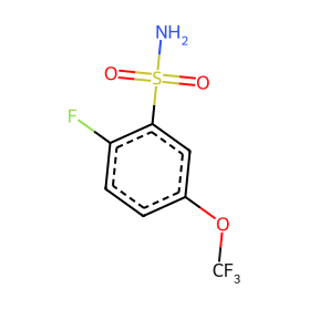 NS(=O)(=O)c1cc(OC(F)(F)F)ccc1F